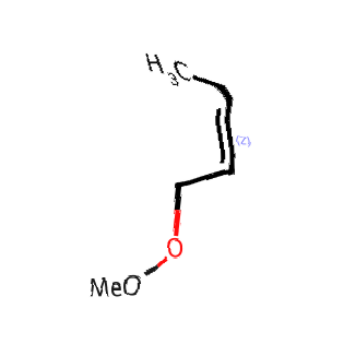 C/C=C\COOC